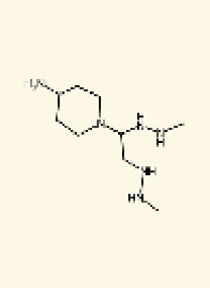 CNNCC(NNC)N1CCC(N)CC1